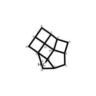 CC12C3CC4CC5C6CC7CC1(C3)C76C452